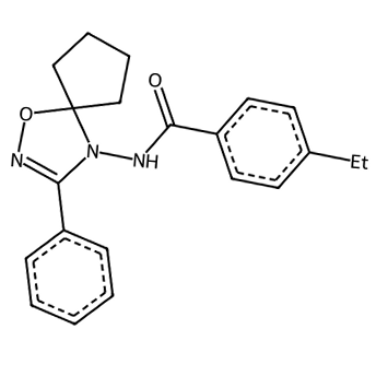 CCc1ccc(C(=O)NN2C(c3ccccc3)=NOC23CCCC3)cc1